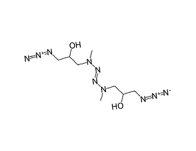 CN(CC(O)CN=[N+]=[N-])/N=N/N(C)CC(O)CN=[N+]=[N-]